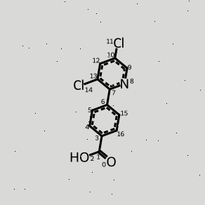 O=C(O)c1ccc(-c2ncc(Cl)cc2Cl)cc1